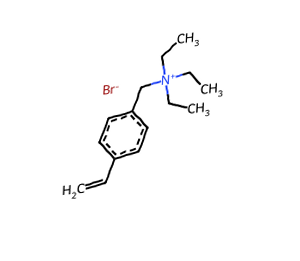 C=Cc1ccc(C[N+](CC)(CC)CC)cc1.[Br-]